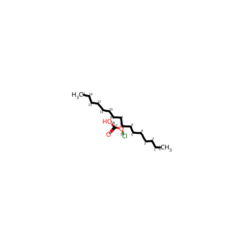 CCCCCCCCCCCCCCCC.O=C(O)OCl